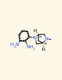 CN1C[C@H]2C[C@@H]1CN2c1cccc(N)c1N